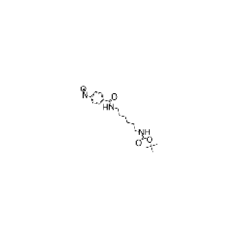 CC(C)(C)OC(=O)NCCCCCCNC(=O)c1ccc(N=O)cc1